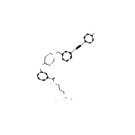 CN(C)CCCNC(=O)c1cccc(OC2CCN(Cc3cccc(C#Cc4ccc(F)cc4)c3)CC2)c1